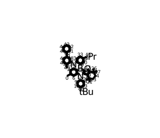 Cc1cc2c3c(c1)N(c1ccc(C(C)(C)C)cc1)c1c(oc4c1C(C)(C)CCC4(C)C)B3c1cc(C(C)C)ccc1N2c1cc(-c2ccccc2)ccc1C